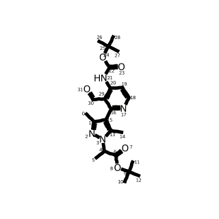 Cc1nn(C(C)C(=O)OC(C)(C)C)c(C)c1-c1nccc(NC(=O)OC(C)(C)C)c1C=O